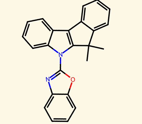 CC1(C)c2ccccc2-c2c1n(-c1nc3ccccc3o1)c1ccccc21